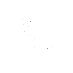 COc1cc(Cc2cnc(N)nc2N)cc(C(=CC=O)N2CCc3ccccc3C2c2cccs2)c1OC